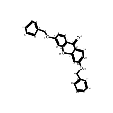 O=c1c2ccc(OCc3ccccc3)cc2oc2cc(OCc3ccccc3)ccc12